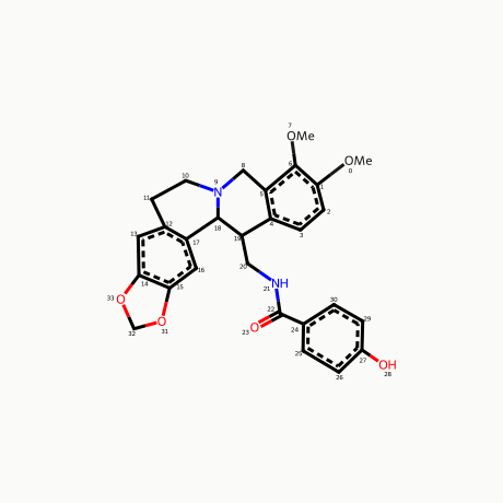 COc1ccc2c(c1OC)CN1CCc3cc4c(cc3C1C2CNC(=O)c1ccc(O)cc1)OCO4